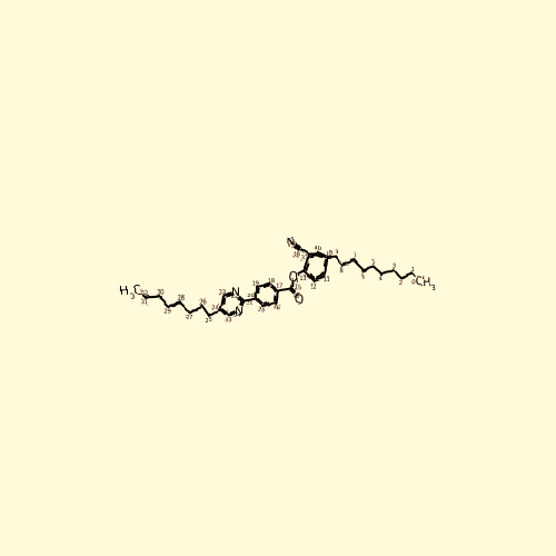 CCCCCCCCCCc1ccc(OC(=O)c2ccc(-c3ncc(CCCCCCCC)cn3)cc2)c(C#N)c1